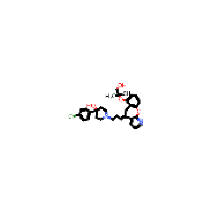 CC(C)(CO)Oc1cccc2c1CC(=CCCN1CCC(O)(c3ccc(Cl)cc3)CC1)c1cccnc1O2